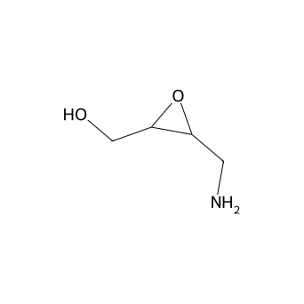 NCC1OC1CO